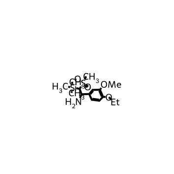 CCOc1ccc(C(N)C([Si](C)(C)C)S(C)(=O)=O)cc1OC